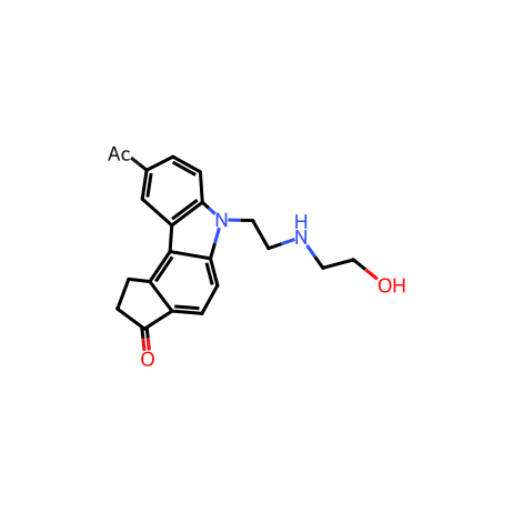 CC(=O)c1ccc2c(c1)c1c3c(ccc1n2CCNCCO)C(=O)CC3